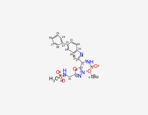 CC(C)(C)OC(=O)NC(c1nnc(CNS(C)(=O)=O)o1)c1nc2ccc(-c3ccccc3)cc2s1